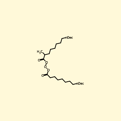 CCCCCCCCCCCCCCCCCC(=O)OOOC(=O)C(C)CCCCCCCCCCCCCCCC